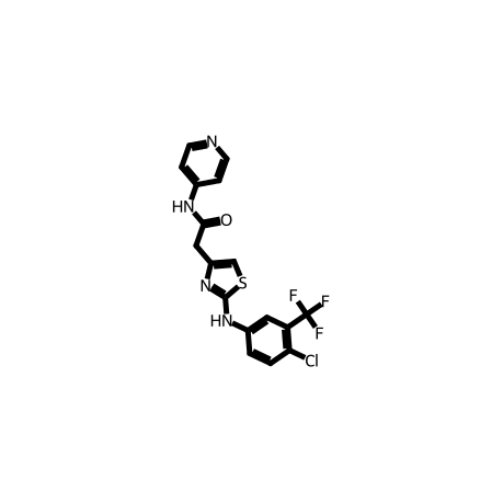 O=C(Cc1csc(Nc2ccc(Cl)c(C(F)(F)F)c2)n1)Nc1ccncc1